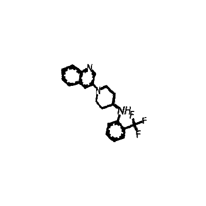 FC(F)(F)c1ccccc1NC1CCN(c2cnc3ccccc3c2)CC1